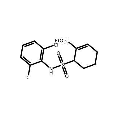 CCOC(=O)C1=CCCCC1S(=O)(=O)Nc1c(Cl)cccc1Cl